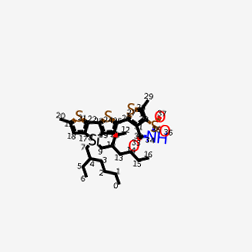 CCCCC(CC)C[Si]1(CC(CC)CCCC)c2cc(C)sc2-c2sc(-c3sc(C)c4c3C(=O)NS4(=O)=O)cc21